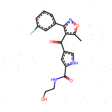 Cc1onc(-c2cccc(F)c2)c1C(=O)c1c[nH]c(C(=O)NCCO)c1